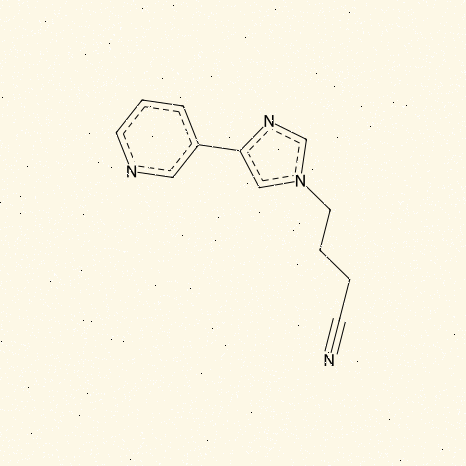 N#CCCCn1cnc(-c2cccnc2)c1